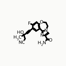 CC(O)(C#Cc1cc2c(cc1F)OCCn1cc(C(N)=O)nc1-2)CC#N